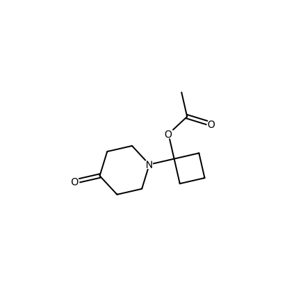 CC(=O)OC1(N2CCC(=O)CC2)CCC1